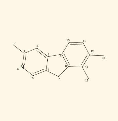 Cc1cc2c(cn1)Cc1c-2ccc(C)c1C